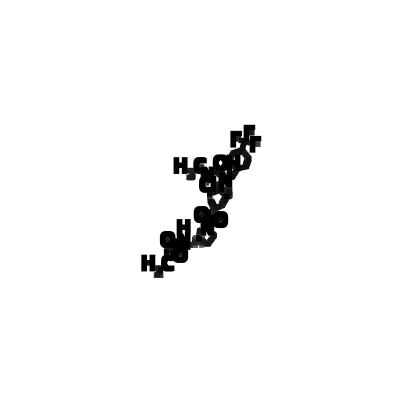 C=CS(=O)(=O)NC[C@H]1CCN(S(=O)(=O)c2ccc(N(Cc3ccc(C(F)(F)F)cc3)C(O)N(C)C)cc2)C1